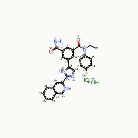 CCN(C(=O)c1cc(C(N)=O)cc(-c2cnc(-c3cc4ccccc4cn3)[nH]2)c1)c1ccc(F)cc1.Cl.Cl